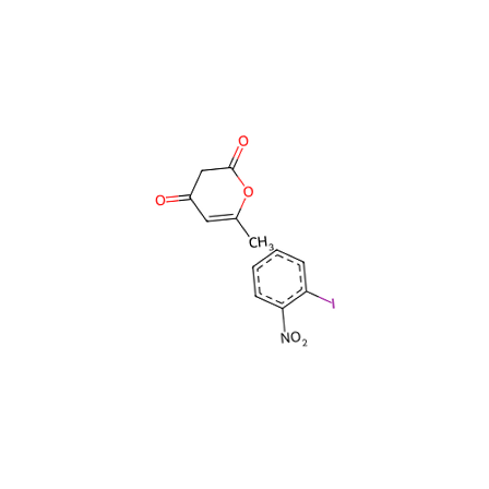 CC1=CC(=O)CC(=O)O1.O=[N+]([O-])c1ccccc1I